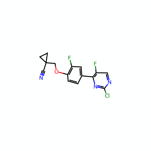 N#CC1(COc2ccc(-c3nc(Cl)ncc3F)cc2F)CC1